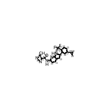 Cn1ncnc1C(=O)Nc1ccc2cc(-c3cc(C4CC4)ccc3C(F)(F)F)[nH]c2n1